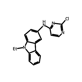 CCn1c2ccccc2c2cc(Nc3ccnc(Cl)n3)ccc21